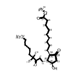 COCCCCC(F)(F)C(=O)CC[C@H]1[C@H](O)CC(=O)[C@@H]1CCCCCCCCC(=O)OC(C)C